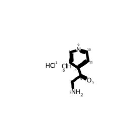 Cl.Cl.NCC(=O)c1ccncc1